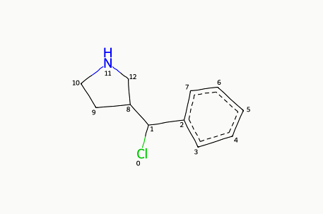 ClC(c1ccccc1)C1CCNC1